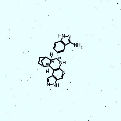 Nc1n[nH]c2ccc([C@@H]3Nc4ncc5[nH]ncc5c4[C@H]4C5CCC(C5)[C@@H]34)cc12